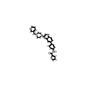 O=C(Nc1ccc(-c2ccc3ncc(N4CCN(Cc5cccnc5)CC4)nc3c2)cc1)c1cccs1